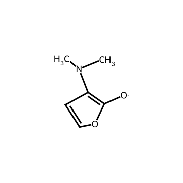 CN(C)c1ccoc1[O]